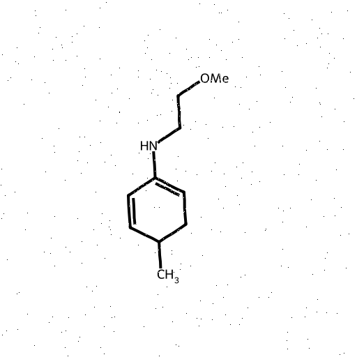 COCCNC1=CCC(C)C=C1